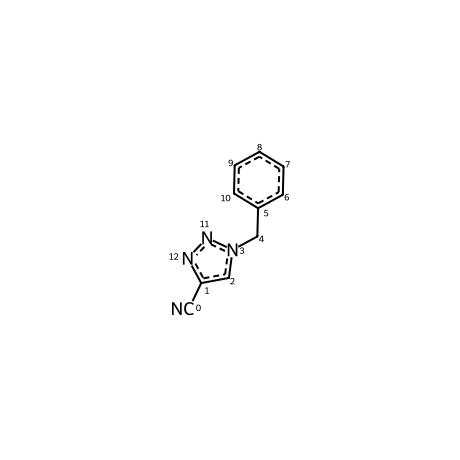 N#Cc1cn(Cc2ccccc2)nn1